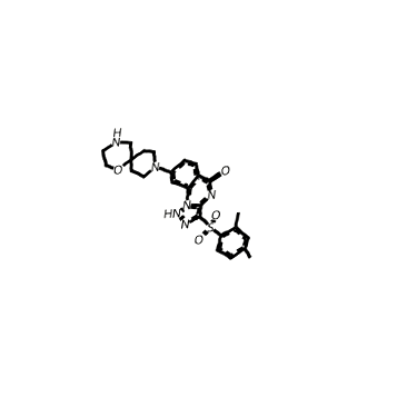 Cc1ccc(S(=O)(=O)c2n[nH]n3c2nc(=O)c2ccc(N4CCC5(CC4)CNCCO5)cc23)c(C)c1